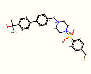 CC(O)(c1ccc(-c2ccc(CN3CCN(S(=O)(=O)c4ccc(CBr)cc4)CC3)cc2)cc1)C(F)(F)F